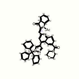 CC(=O)N1/C(=C\c2cc(-c3cnn(C(c4ccccc4)(c4ccccc4)c4ccccc4)c3)c3cc(C(=O)N4CCOCC4)ccc3n2)C(=O)c2ccccc21